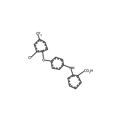 O=C(O)c1ccccc1Nc1ccc(Oc2ccc(C(F)(F)F)cc2Cl)cc1